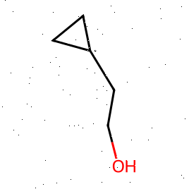 OCC[C]1CC1